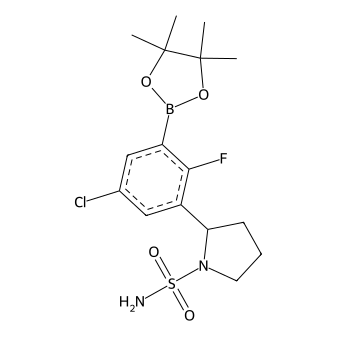 CC1(C)OB(c2cc(Cl)cc(C3CCCN3S(N)(=O)=O)c2F)OC1(C)C